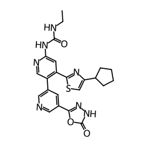 CCNC(=O)Nc1cc(-c2nc(C3CCCC3)cs2)c(-c2cncc(-c3n[nH]c(=O)o3)c2)cn1